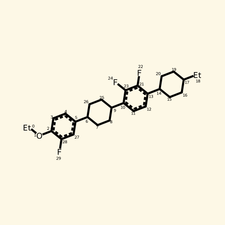 CCOc1ccc(C2CCC(c3ccc(C4CCC(CC)CC4)c(F)c3F)CC2)cc1F